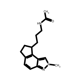 CC(=O)NCCCC1CCc2ccc3nn(C)cc3c21